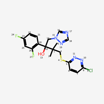 CC(C)(CSc1ccc(Cl)nn1)C(O)(Cn1cncn1)c1ccc(F)cc1F